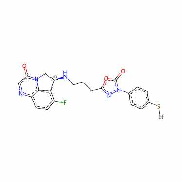 CCSc1ccc(-n2nc(CCCN[C@@H]3Cn4c(=O)cnc5ccc(F)c3c54)oc2=O)cc1